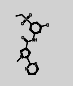 CCS(=O)(=O)c1cc(Cl)cc(NC(=O)c2cc(-c3ncccn3)n(C)c2)c1